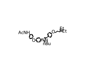 CCCCc1nc(-c2ccc(OCCCN(CC)CC)cc2)cn1-c1ccc(Oc2ccc(NC(C)=O)cc2)cc1